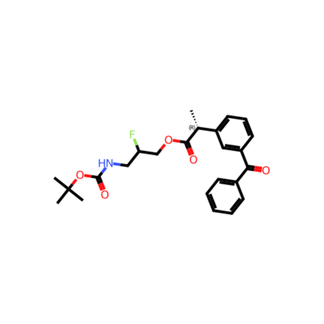 C[C@@H](C(=O)OCC(F)CNC(=O)OC(C)(C)C)c1cccc(C(=O)c2ccccc2)c1